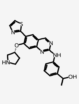 CC(O)c1cccc(Nc2ncc3cc(-c4nccs4)c(O[C@@H]4CCNC4)cc3n2)c1